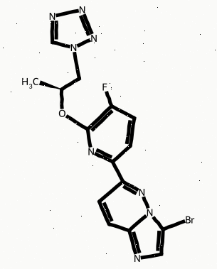 C[C@@H](Cn1cnnn1)Oc1nc(-c2ccc3ncc(Br)n3n2)ccc1F